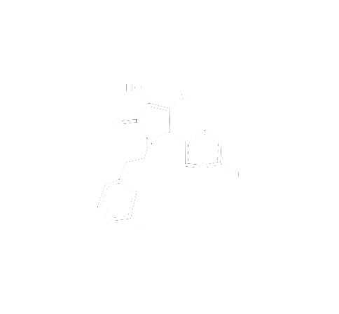 CC(=O)C1=C(O)C(=O)N(CCc2cccc(C)c2)C1c1ccc(Br)cc1